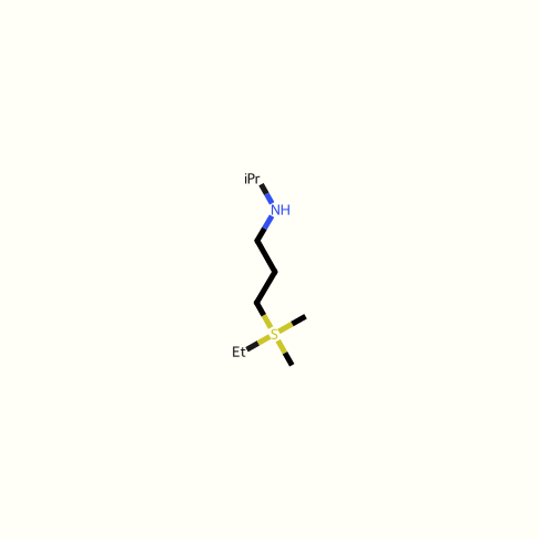 CCS(C)(C)CCCNC(C)C